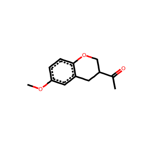 COc1ccc2c(c1)CC(C(C)=O)CO2